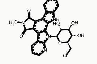 CN1C(=O)c2c(c3c4cccnc4n([C@@H]4O[C@H](CCl)[C@@H](O)[C@H](O)[C@H]4O)c3c3[nH]c4ccccc4c23)C1=O